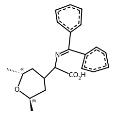 C[C@@H]1CC(C(N=C(c2ccccc2)c2ccccc2)C(=O)O)C[C@@H](C)O1